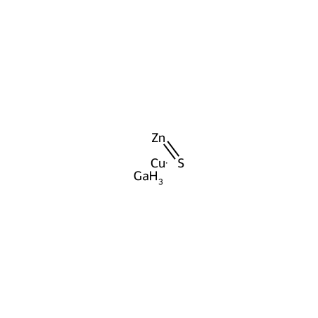 [Cu].[GaH3].[S]=[Zn]